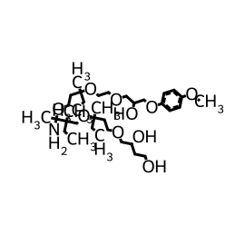 CCC(C)(CCOC(C)(N)C(C)(CC)COC(C)(CC)CCOCC(O)CCO)OCCOCC(O)COc1ccc(OC)cc1